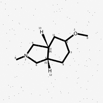 COC1CC[C@@H]2CN(C)C[C@@H]2C1